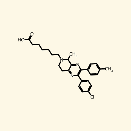 Cc1ccc(-c2nc3c(nc2-c2ccc(Cl)cc2)CCN(CCCCCCC(=O)O)C3C)cc1